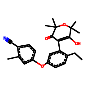 CCc1ccc(Oc2ccc(C#N)c(C)c2)cc1C1=C(O)C(C)(C)OC(C)(C)C1=O